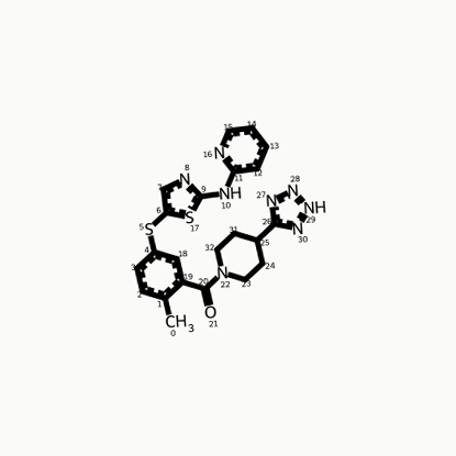 Cc1ccc(Sc2cnc(Nc3ccccn3)s2)cc1C(=O)N1CCC(c2nn[nH]n2)CC1